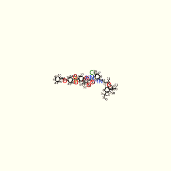 CCC(C)(C)c1ccc(OC(C)CCNc2ccc(Cl)c(NC(=O)C(Oc3ccc(S(=O)(=O)c4ccc(OCc5ccccc5)cc4)cc3)C(=O)C(C)(C)C)c2)c(C(C)(C)CC)c1